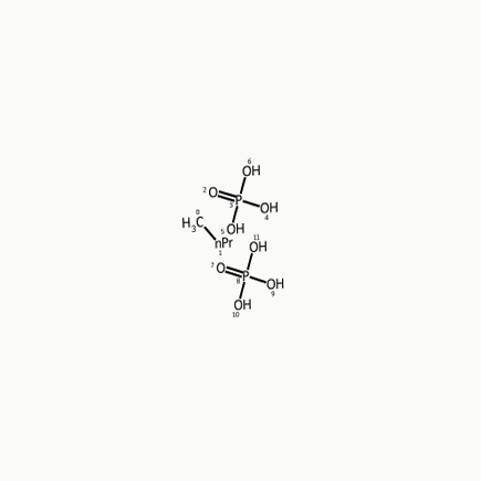 CCCC.O=P(O)(O)O.O=P(O)(O)O